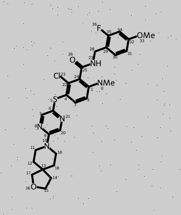 CNc1ccc(Sc2cnc(N3CCC4(CCOC4)CC3)cn2)c(Cl)c1C(=O)NCc1ccc(OC)cc1F